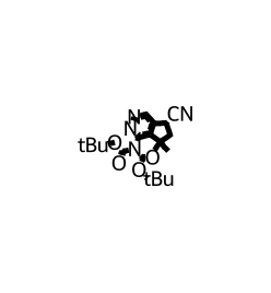 CC(C)(C)OC(=O)N(C(=O)OC(C)(C)C)c1nncc2c1C(C)(C)CC2C#N